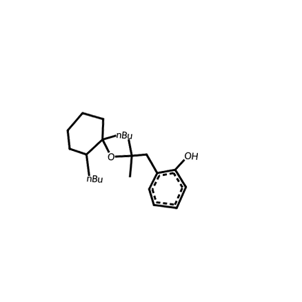 CCCCC1CCCCC1(CCCC)OC(C)(C)Cc1ccccc1O